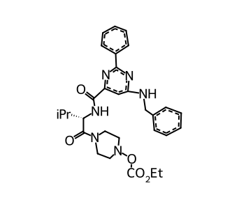 CCOC(=O)ON1CCN(C(=O)[C@@H](NC(=O)c2cc(NCc3ccccc3)nc(-c3ccccc3)n2)C(C)C)CC1